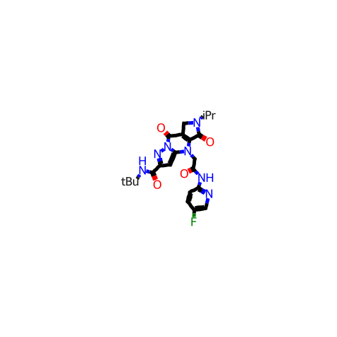 CC(C)N1Cc2c(n(CC(=O)Nc3ccc(F)cn3)c3cc(C(=O)NC(C)(C)C)nn3c2=O)C1=O